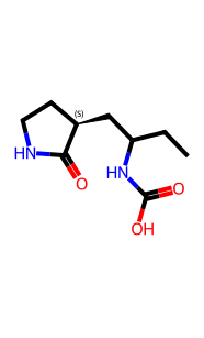 CCC(C[C@@H]1CCNC1=O)NC(=O)O